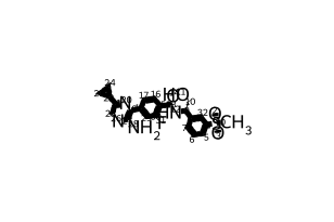 CS(=O)(=O)c1cccc([C@@H](CO)NC(=O)c2ccc(-c3nc(C4CC4)cnc3N)cc2F)c1